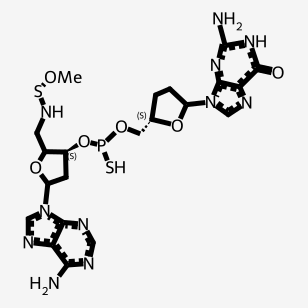 COSNCC1OC(n2cnc3c(N)ncnc32)C[C@@H]1OP(S)OC[C@@H]1CCC(n2cnc3c(=O)[nH]c(N)nc32)O1